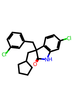 O=C1Nc2cc(Cl)ccc2C1(Cc1cccc(Cl)c1)CC1CCCC1